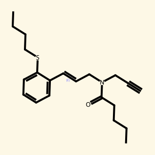 C#CCN(C/C=C/c1ccccc1SCCCC)C(=O)CCCC